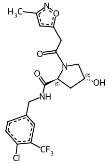 Cc1cc(CC(=O)N2C[C@H](O)C[C@H]2C(=O)NCc2ccc(Cl)c(C(F)(F)F)c2)on1